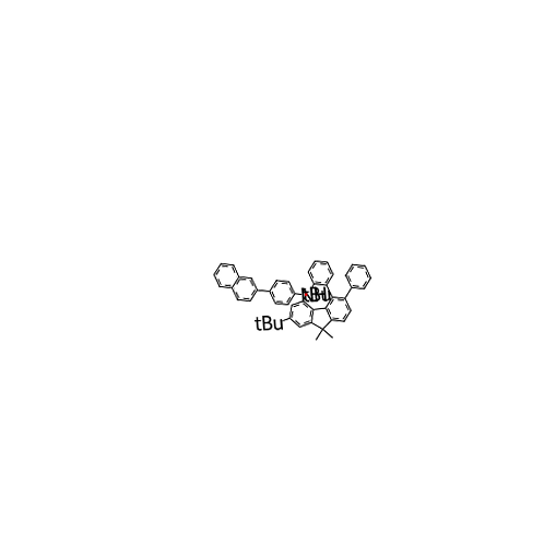 CC(C)(C)c1cc(C(C)(C)C)c2c(c1)C(C)(C)c1ccc(-c3ccccc3)c(-c3ccccc3Nc3ccc(-c4ccc5ccccc5c4)cc3)c1-2